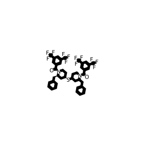 O=C(c1cc(C(F)(F)F)cc(C(F)(F)F)c1)N1CCC(S[C@H]2CCN(C(=O)c3cc(C(F)(F)F)cc(C(F)(F)F)c3)[C@H](Cc3ccccc3)C2)CC1Cc1ccccc1